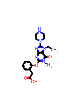 CCn1c(N2CCNCC2)nc2nc(Oc3ccccc3CC(=O)O)n(C)c(=O)c21